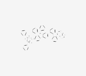 c1ccc(-c2nc(-c3ccccc3)nc(-c3ccc4c(c3)C(c3ccccc3)(c3ccccc3)c3cc(-c5cccc6c5-c5ccccc5C65C6CC7CC(C6)CC5C7)ccc3-4)n2)cc1